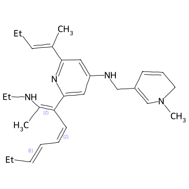 CCC=C(C)c1cc(NCC2=CN(C)CC=C2)cc(C(/C=C\C=C\CC)=C(/C)NCC)n1